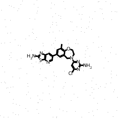 Cc1cc(-c2cnc3sc(N)nc3c2)cc2c1OCCN(c1cc(Cl)nc(N)n1)C2